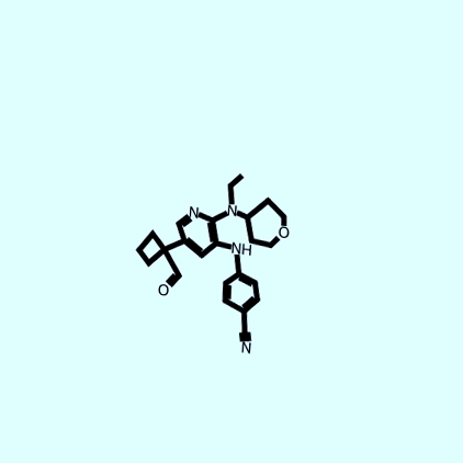 CCN(c1ncc(C2(C=O)CCC2)cc1Nc1ccc(C#N)cc1)C1CCOCC1